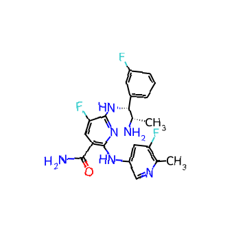 Cc1ncc(Nc2nc(N[C@H](c3cccc(F)c3)[C@H](C)N)c(F)cc2C(N)=O)cc1F